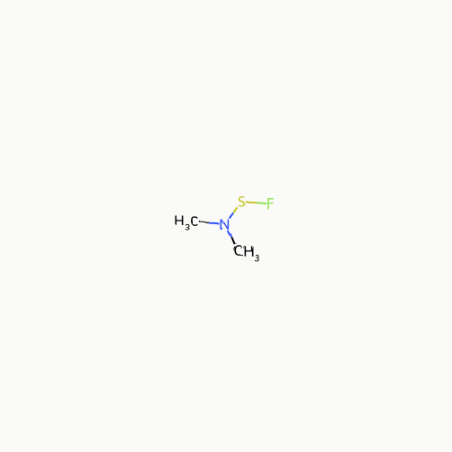 CN(C)SF